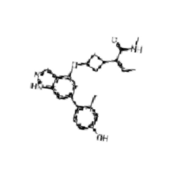 CC=C(C(=O)NC)C1CC(Oc2cc(-c3ccc(O)cc3C)cc3[nH]ncc23)C1